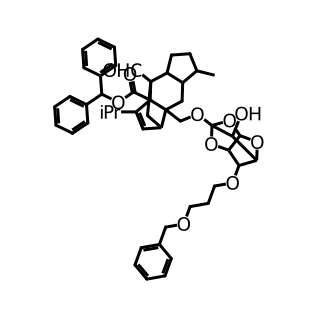 CC(C)C1=CC2CC3(C=O)C4CCC(C)C4CC2(COC24OC5OC(C(OCCCOCc6ccccc6)C5O2)C4O)C13C(=O)OC(c1ccccc1)c1ccccc1